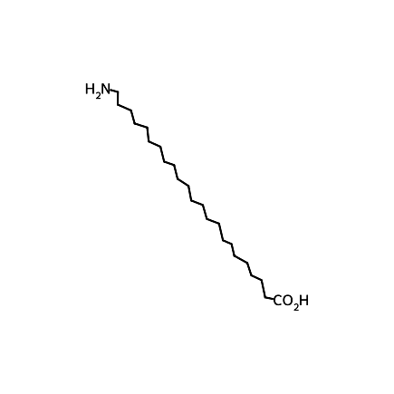 NCCCCCCCCCCCCCCCCCCCCCCC(=O)O